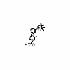 C[C@H]1CN(C(=O)O)CCN1c1cc(B2OC(C)(C)C(C)(C)O2)ccn1